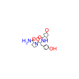 C[C@@H]1CC(=O)C[C@@H]1C(=O)N[C@@H](Cc1ccc(O)cc1)C(=O)N1CCC[C@H]1C(N)=O